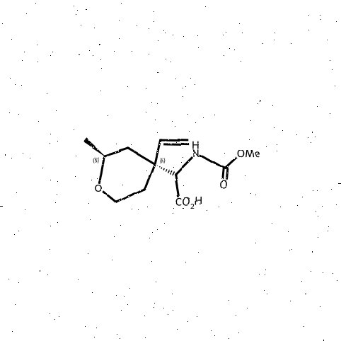 C=C[C@@]1(C(NC(=O)OC)C(=O)O)CCO[C@@H](C)C1